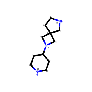 C1CC(N2CC3(CCNC3)C2)CCN1